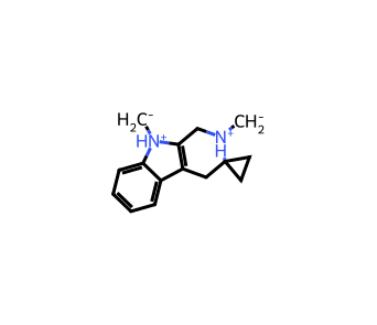 [CH2-][NH+]1C2=C(CC3(CC3)[NH+]([CH2-])C2)c2ccccc21